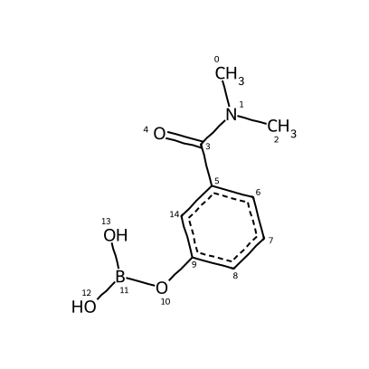 CN(C)C(=O)c1cccc(OB(O)O)c1